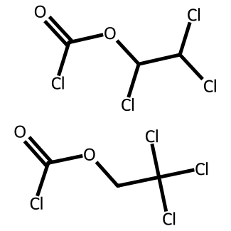 O=C(Cl)OC(Cl)C(Cl)Cl.O=C(Cl)OCC(Cl)(Cl)Cl